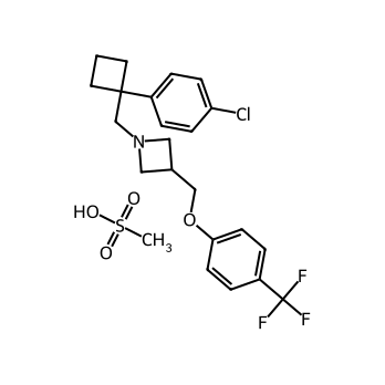 CS(=O)(=O)O.FC(F)(F)c1ccc(OCC2CN(CC3(c4ccc(Cl)cc4)CCC3)C2)cc1